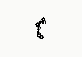 c1cc(CNC2CCCC2)cc(OCCCN2CCc3ccccc3C2)c1